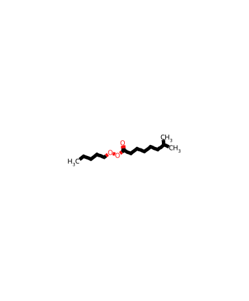 CCCCCOOC(=O)CCCCCC(C)C